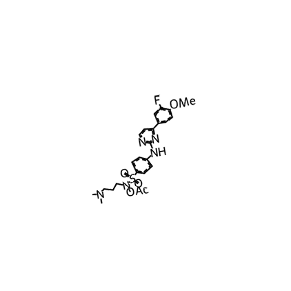 COc1ccc(-c2ccnc(Nc3ccc(S(=O)(=O)N(CCCN(C)C)OC(C)=O)cc3)n2)cc1F